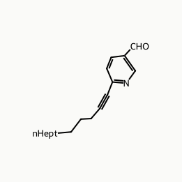 CCCCCCCCCCC#Cc1ccc(C=O)cn1